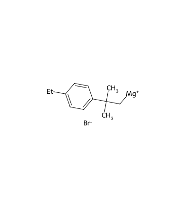 CCc1ccc(C(C)(C)[CH2][Mg+])cc1.[Br-]